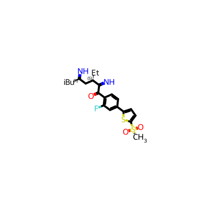 CC[C@@H](CC(=N)[C@H](C)CC)C(=N)C(=O)c1ccc(-c2ccc(S(C)(=O)=O)s2)cc1F